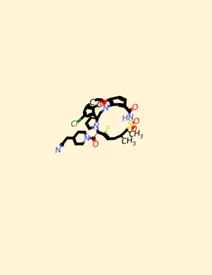 C[C@@H]1[C@@H](C)C/C=C(\F)[C@H](C(=O)N2CCC(CC#N)CC2)N2CCC[C@@]23CN2CCCCc4cc(Cl)cc3c4COc3ccc(cc32)C(=O)NS1(=O)=O